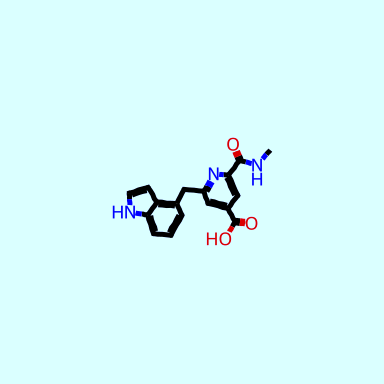 CNC(=O)c1cc(C(=O)O)cc(Cc2cccc3[nH]ccc23)n1